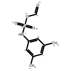 Cc1cc(C)cc(NS(=O)(=O)OC=O)c1